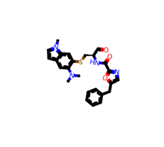 CN(C)c1cc2ccn(C)c2cc1SC[C@@H](C=O)NC(=O)c1ncc(Cc2ccccc2)o1